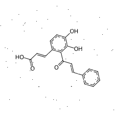 O=C(O)C=Cc1ccc(O)c(O)c1C(=O)C=Cc1ccccc1